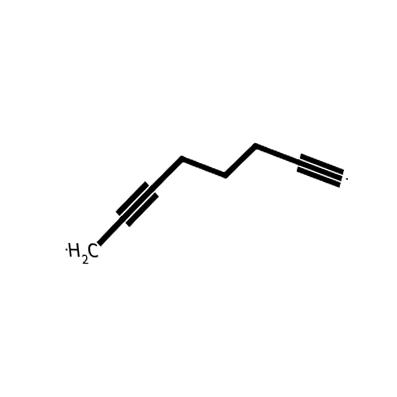 [C]#CCCCC#C[CH2]